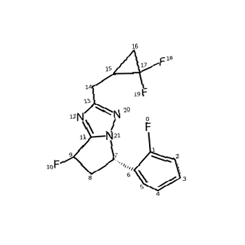 Fc1ccccc1[C@@H]1CC(F)c2nc(CC3CC3(F)F)nn21